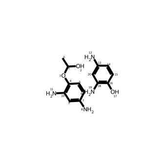 CC(O)Oc1ccc(N)cc1N.Nc1ccc(O)c(N)c1